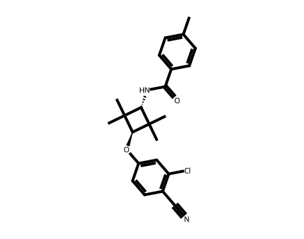 Cc1ccc(C(=O)N[C@H]2C(C)(C)[C@H](Oc3ccc(C#N)c(Cl)c3)C2(C)C)cc1